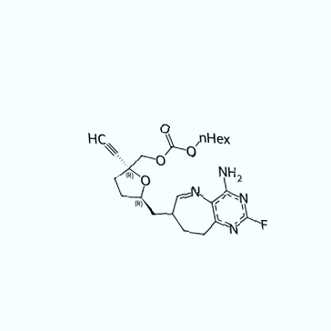 C#C[C@@]1(COC(=O)OCCCCCC)CC[C@H](CC2C=Nc3c(N)nc(F)nc3CC2)O1